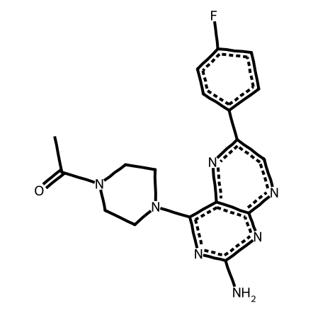 CC(=O)N1CCN(c2nc(N)nc3ncc(-c4ccc(F)cc4)nc23)CC1